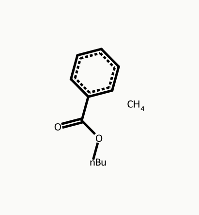 C.CCCCOC(=O)c1ccccc1